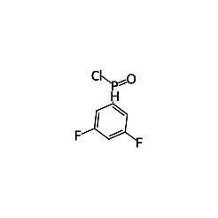 O=[PH](Cl)c1cc(F)cc(F)c1